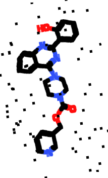 O=C(OCc1cccnc1)N1CCN(c2nc(-c3ccccc3O)nc3ccccc23)CC1